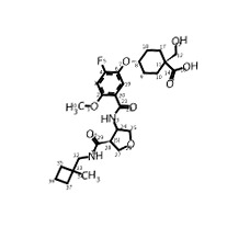 COc1cc(F)c(O[C@H]2CC[C@@](CO)(C(=O)O)CC2)cc1C(=O)NC1COC[C@H]1C(=O)NCC1(C)CCC1